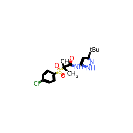 CC(C)(C)c1cc(NC(=O)C(C)(C)S(=O)(=O)c2ccc(Cl)cc2)[nH]n1